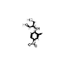 Cc1cc([N+](=O)[O-])ccc1NC(CO)CO